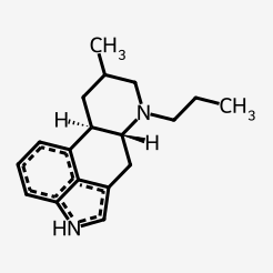 CCCN1CC(C)C[C@@H]2c3cccc4[nH]cc(c34)C[C@H]21